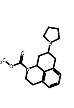 COC(=O)N1CCc2cccc3c2C1CC(N1CCCC1)C3